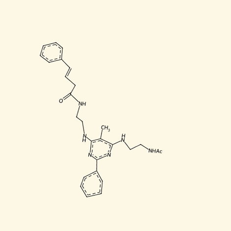 CC(=O)NCCNc1nc(-c2ccccc2)nc(NCCNC(=O)CC=Cc2ccccc2)c1C